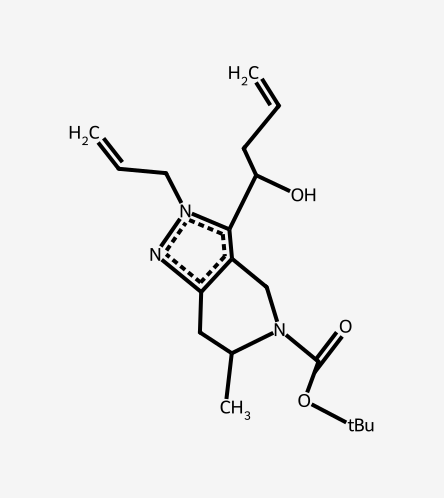 C=CCC(O)c1c2c(nn1CC=C)CC(C)N(C(=O)OC(C)(C)C)C2